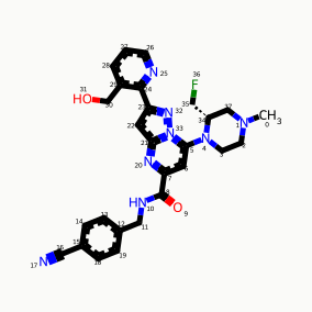 CN1CCN(c2cc(C(=O)NCc3ccc(C#N)cc3)nc3cc(-c4ncccc4CO)nn23)[C@H](CF)C1